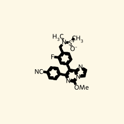 COc1nc(-c2ccc(C#N)cc2)c(-c2ccc(CN(C)[S+](C)[O-])c(F)c2)c2nccn12